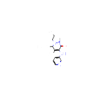 CCN1C(=O)C(Nc2cccnc2)=C(C(C)=O)C(C(=O)O)N1CCC(C)C